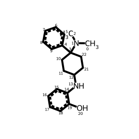 CN(C)C1(c2ccccc2)CCC(Nc2ccccc2O)CC1